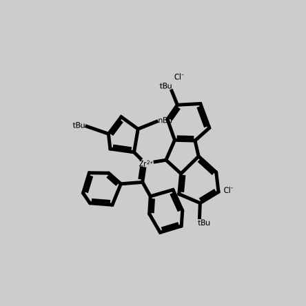 CCCCC1C=C(C(C)(C)C)C=[C]1[Zr+2](=[C](c1ccccc1)c1ccccc1)[CH]1c2cc(C(C)(C)C)ccc2-c2ccc(C(C)(C)C)cc21.[Cl-].[Cl-]